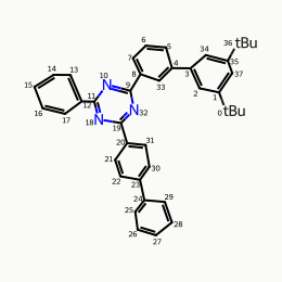 CC(C)(C)c1cc(-c2cccc(-c3nc(-c4ccccc4)nc(-c4ccc(-c5ccccc5)cc4)n3)c2)cc(C(C)(C)C)c1